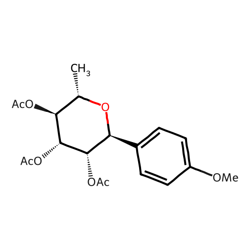 COc1ccc([C@@H]2O[C@@H](C)[C@H](OC(C)=O)[C@@H](OC(C)=O)[C@H]2OC(C)=O)cc1